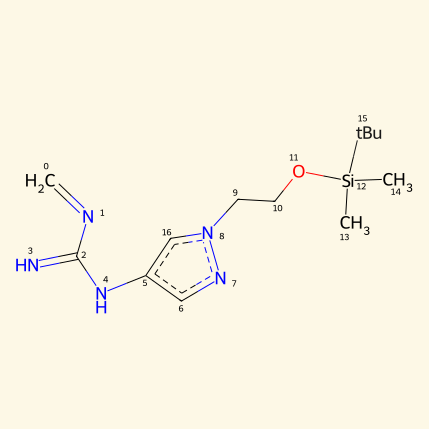 C=NC(=N)Nc1cnn(CCO[Si](C)(C)C(C)(C)C)c1